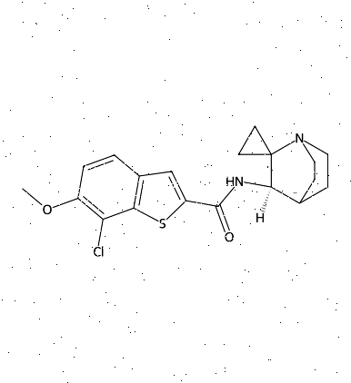 COc1ccc2cc(C(=O)N[C@@H]3C4CCN(CC4)C34CC4)sc2c1Cl